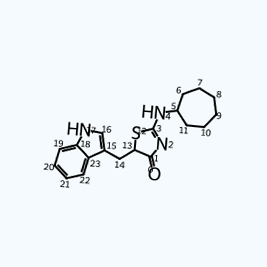 O=C1N=C(NC2CCCCCC2)SC1Cc1c[nH]c2ccccc12